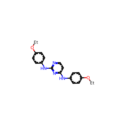 CCOc1ccc(Nc2ccnc(Nc3ccc(OCC)cc3)n2)cc1